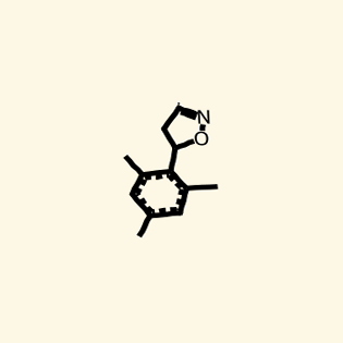 Cc1cc(C)c(C2C[C]=NO2)c(C)c1